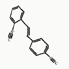 [C-]#[N+]c1ccc(C=Cc2ccccc2[N+]#[C-])cc1